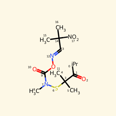 CC(C)C(=O)C(C)(C)SN(C)C(=O)ON=CC(C)(C)[N+](=O)[O-]